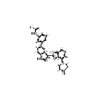 C=C(CC)Nc1cncc(-c2ccc3[nH]nc(-c4nc5c(N6CCNCC6)cncc5[nH]4)c3c2)c1